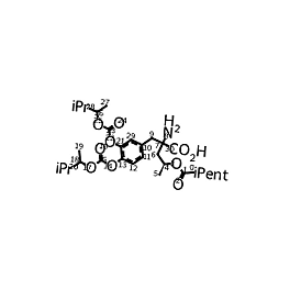 CCCC(C)C(=O)O[C@@H](C)CC(N)(Cc1ccc(OC(=O)OC(C)C(C)C)c(OC(=O)OC(C)C(C)C)c1)C(=O)O